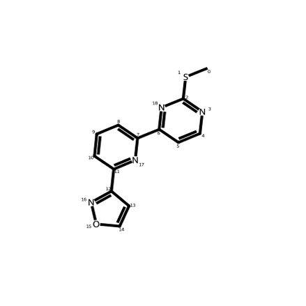 CSc1nccc(-c2cccc(-c3ccon3)n2)n1